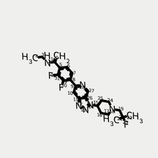 C=C(NCC)c1ccc(-c2cc3nnn(C4CCN(CC(C)(C)F)CC4)c3cn2)c(F)c1F